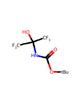 CC(C)(C)OC(=O)NC(O)(C(F)(F)F)C(F)(F)F